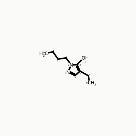 CCCCn1ncc(CC)c1O